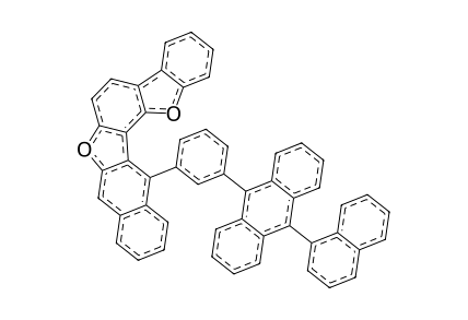 c1cc(-c2c3ccccc3c(-c3cccc4ccccc34)c3ccccc23)cc(-c2c3ccccc3cc3oc4ccc5c6ccccc6oc5c4c23)c1